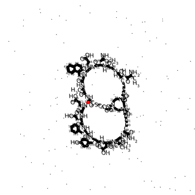 C[C@H](N)C(=O)N[C@H]1CSCCS(=O)(=O)N2CCN3CCN(CC2)S(=O)(=O)CCSC[C@H](NC(=O)[C@@H](C)NC(=O)[C@H](Cc2cccc4ccccc24)NC(=O)[C@H](CCC(=O)O)NC(=O)[C@H](CC(N)=O)NC(=O)[C@@H](C)NC1=O)C(=O)N[C@@H](CCC(=O)O)C(=O)N[C@@H](CC(=O)O)C(=O)N[C@@H](Cc1ccccc1)C(=O)N[C@@H](Cc1ccc(O)cc1)C(=O)NC(CC(=O)O)C(=O)N[C@@H](C(C)(C)C)C(=O)NC(C(N)=O)CSCCS3(=O)=O